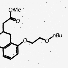 CCCCOCCOc1cccc2c1CC(CC(=O)OC)CC2